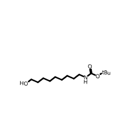 CC(C)(C)OC(=O)NCCCCCCCCCO